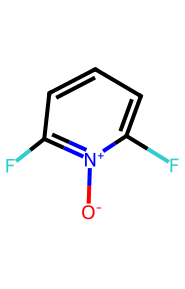 [O-][n+]1c(F)cccc1F